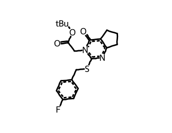 CC(C)(C)OC(=O)Cn1c(SCc2ccc(F)cc2)nc2c(c1=O)CCC2